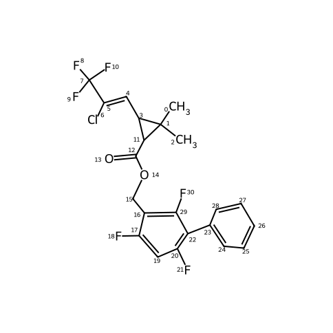 CC1(C)C(C=C(Cl)C(F)(F)F)C1C(=O)OCc1c(F)cc(F)c(-c2ccccc2)c1F